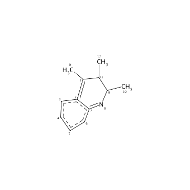 CC1=c2ccccc2=NC(C)C1C